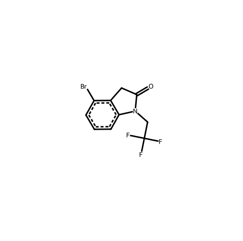 O=C1Cc2c(Br)cccc2N1CC(F)(F)F